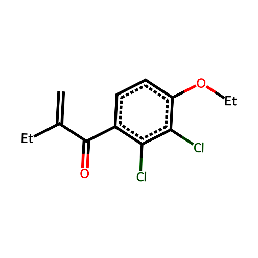 C=C(CC)C(=O)c1ccc(OCC)c(Cl)c1Cl